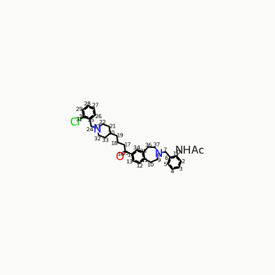 CC(=O)Nc1ccccc1CN1CCc2ccc(C(=O)CCCC3CCN(Cc4ccccc4Cl)CC3)cc2CC1